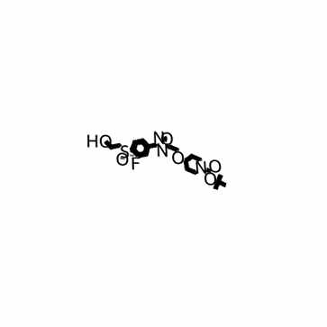 CC(C)(C)OC(=O)N1CCC(OCc2nc(-c3ccc([S+]([O-])CCO)c(F)c3)no2)CC1